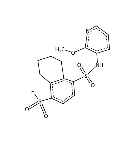 COc1ncccc1NS(=O)(=O)c1ccc(S(=O)(=O)F)c2c1CCCC2